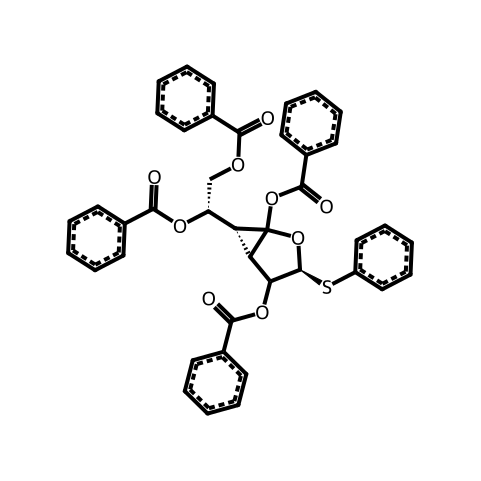 O=C(OC[C@@H](OC(=O)c1ccccc1)[C@H]1C2C(OC(=O)c3ccccc3)[C@H](Sc3ccccc3)OC21OC(=O)c1ccccc1)c1ccccc1